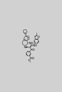 COC(=O)c1cccc(C(=O)/C(C#N)=C(\Nc2ccc3oc(C)cc3c2)N[C@H]2CCCCN(CC(=O)N3CCCC3)C2=O)c1